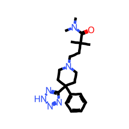 CN(C)C(=O)C(C)(C)CCN1CCC(c2ccccc2)(c2nn[nH]n2)CC1